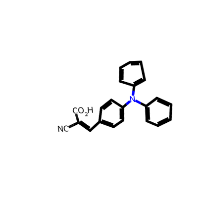 N#CC(=Cc1ccc(N(c2ccccc2)c2ccccc2)cc1)C(=O)O